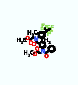 COC(=O)CN(C(=O)c1ccccc1)c1cccc(C(=O)N(CC(=O)OC)c2c(C)cc(C(F)(C(F)(F)F)C(F)(F)F)cc2C)c1